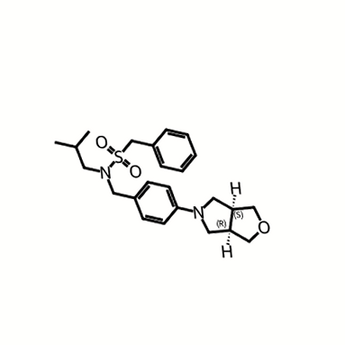 CC(C)CN(Cc1ccc(N2C[C@H]3COC[C@H]3C2)cc1)S(=O)(=O)Cc1ccccc1